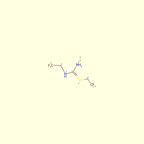 N/C(NCC(F)(F)F)=[S+]\CC(F)(F)F.[I-]